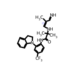 C/C(C=N)=C/NC(C)(C)C(=O)Nc1ccc(C(F)(F)F)cc1N1CCc2ccccc21